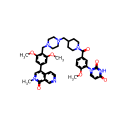 COc1ccc(C(=O)N2CCC(CN3CCN(Cc4c(OC)cc(-c5cn(C)c(=O)c6cnccc56)cc4OC)CC3)CC2)cc1-n1ccc(=O)[nH]c1=O